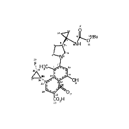 Cc1c(N2CC[C@@H](C3(NC(=O)OC(C)(C)C)CC3)C2)cc(O)c2c(=O)c(C(=O)O)cn([C@@H]3C[C@@H]3F)c12